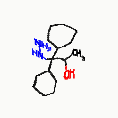 CC(O)C(NN)(C1CCCCC1)C1CCCCC1